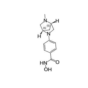 CN1C[C@@H]2C[C@H]1CN2c1ccc(C(=O)NO)cc1